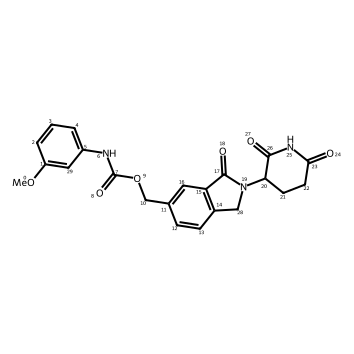 COc1cccc(NC(=O)OCc2ccc3c(c2)C(=O)N(C2CCC(=O)NC2=O)C3)c1